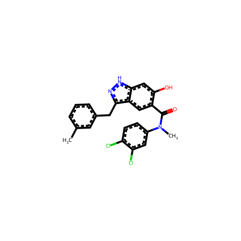 Cc1cccc(Cc2n[nH]c3cc(O)c(C(=O)N(C)c4ccc(Cl)c(Cl)c4)cc23)c1